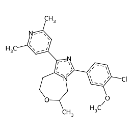 COc1cc(-c2nc(-c3cc(C)nc(C)c3)c3n2CC(C)OCC3)ccc1Cl